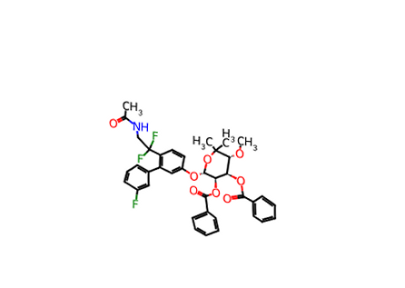 CO[C@@H]1[C@@H](OC(=O)c2ccccc2)[C@@H](OC(=O)c2ccccc2)[C@H](Oc2ccc(C(F)(F)CNC(C)=O)c(-c3cccc(F)c3)c2)OC1(C)C